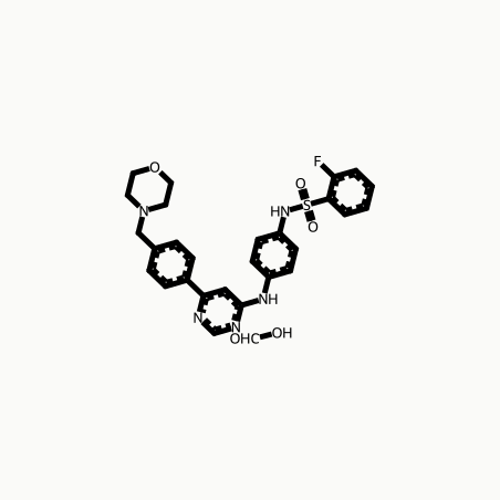 O=CO.O=S(=O)(Nc1ccc(Nc2cc(-c3ccc(CN4CCOCC4)cc3)ncn2)cc1)c1ccccc1F